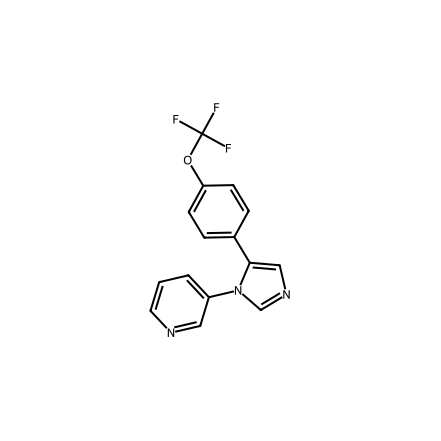 FC(F)(F)Oc1ccc(-c2cncn2-c2cccnc2)cc1